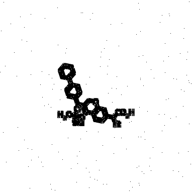 CCC(C(=O)O)c1ccc2c(c1)OCC(Cc1ccc(-c3ccccc3)cc1)C2O[Si](C)(C)C(C)(C)C